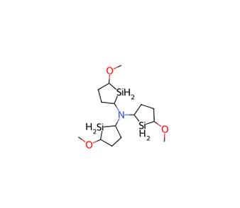 COC1CCC(N(C2CCC(OC)[SiH2]2)C2CCC(OC)[SiH2]2)[SiH2]1